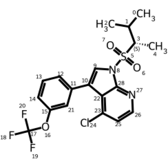 CC(C)[C@H](C)S(=O)(=O)n1cc(-c2cccc(OC(F)(F)F)c2)c2c(Cl)ccnc21